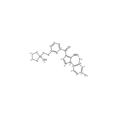 Nc1c(C(=O)c2cccc(CCC3(O)CCCC3)c2)cnn1-c1ccc(F)cc1F